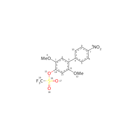 COc1cc(-c2ccc([N+](=O)[O-])cc2)c(OC)cc1OS(=O)(=O)C(F)(F)F